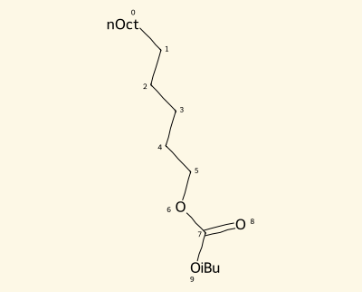 CCCCCCCCCCCCCOC(=O)OCC(C)C